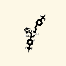 C[C@@H](NC(=O)C=Cc1ccc(C(F)(F)F)cc1)[C@](O)(Cn1cncn1)c1ccc(C(F)(F)F)cc1